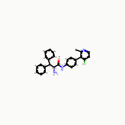 Cc1nccc(Cl)c1-c1ccc(NC(=O)[C@@H](N)C(c2ccccc2)c2ccccc2)cc1